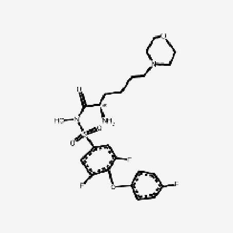 N[C@H](CCCCN1CCOCC1)C(=O)N(O)S(=O)(=O)c1cc(F)c(Oc2ccc(F)cc2)c(F)c1